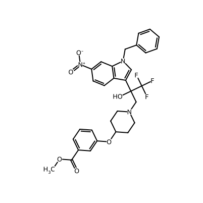 COC(=O)c1cccc(OC2CCN(CC(O)(c3cn(Cc4ccccc4)c4cc([N+](=O)[O-])ccc34)C(F)(F)F)CC2)c1